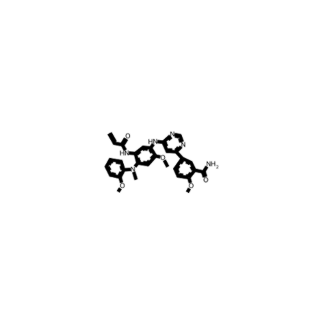 C=CC(=O)Nc1cc(Nc2cc(-c3ccc(OC)c(C(N)=O)c3)ncn2)c(OC)cc1N(C)c1ccccc1OC